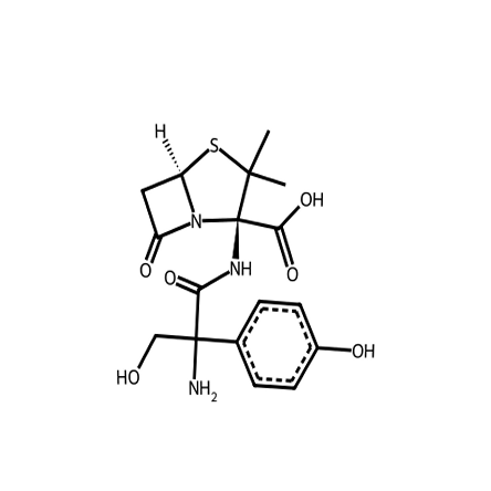 CC1(C)S[C@@H]2CC(=O)N2[C@@]1(NC(=O)C(N)(CO)c1ccc(O)cc1)C(=O)O